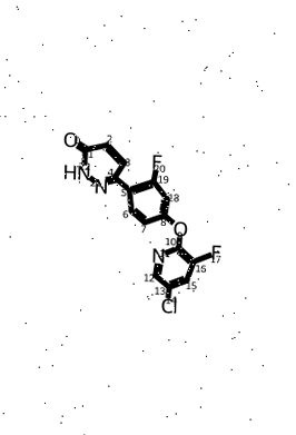 O=c1ccc(-c2ccc(Oc3ncc(Cl)cc3F)cc2F)n[nH]1